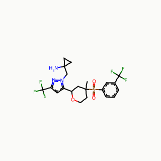 CC1(S(=O)(=O)c2cccc(C(F)(F)F)c2)CCOC(c2cc(C(F)(F)F)nn2CC2(N)CC2)C1